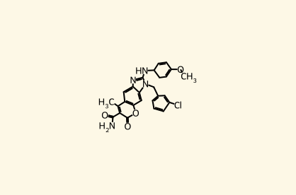 COC1=CCC(Nc2nc3cc4c(C)c(C(N)=O)c(=O)oc4cc3n2Cc2cccc(Cl)c2)C=C1